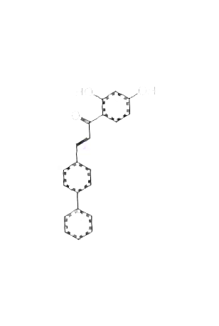 O=C(/C=C/c1ccc(-c2ccccc2)cc1)c1ccc(O)cc1O